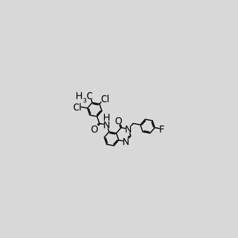 Cc1c(Cl)cc(C(=O)Nc2cccc3ncn(Cc4ccc(F)cc4)c(=O)c23)cc1Cl